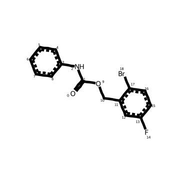 O=C(Nc1ccccc1)OCc1cc(F)ccc1Br